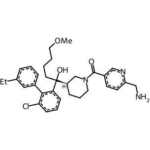 CCc1cccc(-c2c(Cl)cccc2C(O)(CCCCOC)[C@@H]2CCCN(C(=O)c3ccc(CN)nc3)C2)c1